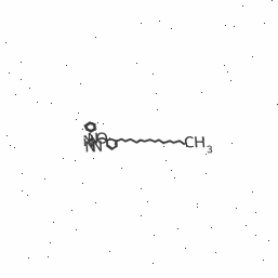 CCCCCCCCCCCCCCCC1=CC=C[C](Oc2nnnn2-c2ccccc2)C1